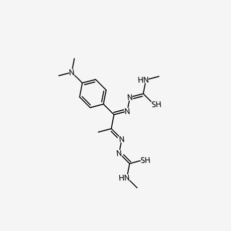 CN/C(S)=N/N=C(C)/C(=N/N=C(\S)NC)c1ccc(N(C)C)cc1